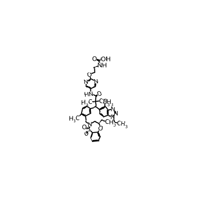 CC[C@@H]1CN(Cc2cc(C(c3ccc4c(nnn4CC)c3C)C(C)(C)C(=O)Nc3cnc(OCCNC(=O)O)nc3)ccc2C)S(=O)(=O)c2ccccc2O1